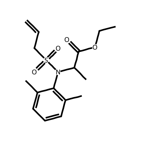 C=CCS(=O)(=O)N(c1c(C)cccc1C)C(C)C(=O)OCC